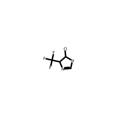 FC(F)(F)C1N=[C][N]C1Cl